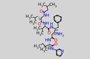 CC[C@H](C)[C@H](NC(=O)C[C@H](N)[C@H](Cc1ccccc1)NC(=O)C(NC(=O)[C@H](CC(C)C)NC(=O)CC(C)C)C(C)C)C(=O)Nc1cccnc1